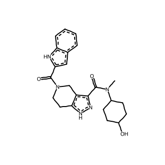 CN(C(=O)c1n[nH]c2c1CN(C(=O)c1cc3ccccc3[nH]1)CC2)C1CCC(O)CC1